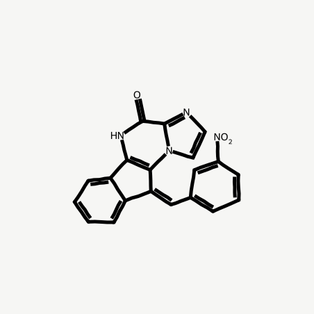 O=c1[nH]c2c3ccccc3/c(=C/c3cccc([N+](=O)[O-])c3)c2n2ccnc12